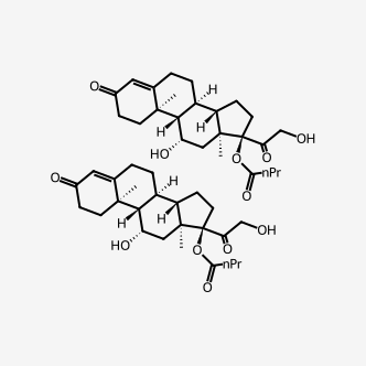 CCCC(=O)O[C@]1(C(=O)CO)CC[C@H]2[C@@H]3CCC4=CC(=O)CC[C@]4(C)[C@H]3[C@@H](O)C[C@@]21C.CCCC(=O)O[C@]1(C(=O)CO)CC[C@H]2[C@@H]3CCC4=CC(=O)CC[C@]4(C)[C@H]3[C@@H](O)C[C@@]21C